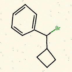 BrC(c1ccccc1)C1CCC1